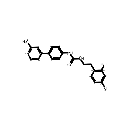 Cc1cc(-c2ccc(NC(=O)NCCc3ccc(Cl)cc3Cl)cc2)ccn1